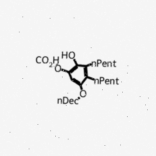 CCCCCCCCCCOc1cc(OC(=O)O)c(O)c(CCCCC)c1CCCCC